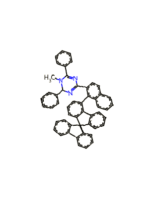 CN1C(c2ccccc2)=NC(c2ccc3ccccc3c2-c2cccc3c2-c2ccccc2C32c3ccccc3-c3ccccc32)=NC1c1ccccc1